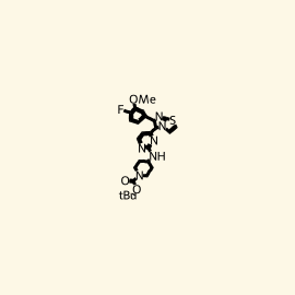 COc1cc(C2N=C3SC=CN3C2c2ccnc(NC3CCN(C(=O)OC(C)(C)C)CC3)n2)ccc1F